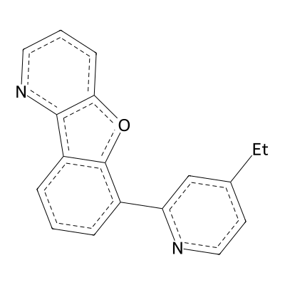 CCc1ccnc(-c2cccc3c2oc2cccnc23)c1